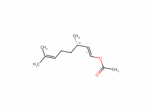 CC(=O)O/C=C/[C@@H](C)CCC=C(C)C